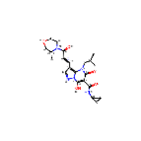 CC(C)Cn1c(=O)c(C(=O)NC2CC2)c(O)n2ncc(/C=C/C(=O)N3CCOC[C@H]3C)c12